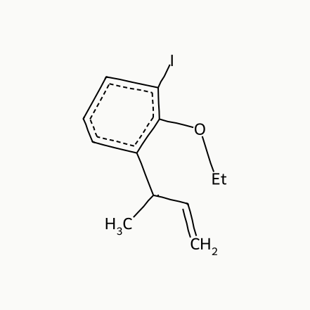 C=C[C](C)c1cccc(I)c1OCC